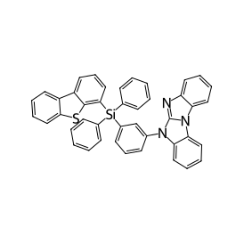 c1ccc([Si](c2ccccc2)(c2cccc(-n3c4ccccc4n4c5ccccc5nc34)c2)c2cccc3c2sc2ccccc23)cc1